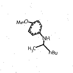 CCCCC(C)Nc1ccc(OC)cc1